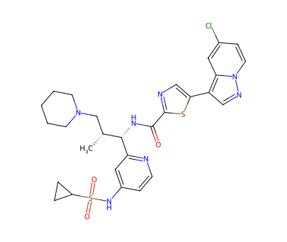 C[C@H](CN1CCCCC1)[C@H](NC(=O)c1ncc(-c2cnn3ccc(Cl)cc23)s1)c1cc(NS(=O)(=O)C2CC2)ccn1